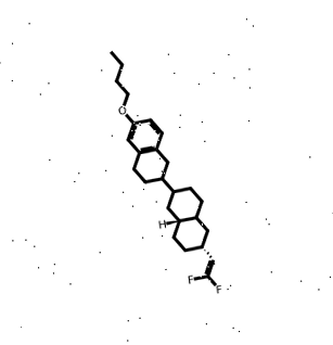 CCCCOc1ccc2c(c1)CCC(C1CCC3C[C@H](C=C(F)F)CC[C@@H]3C1)C2